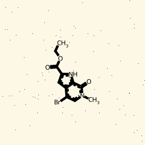 CCOC(=O)c1cc2c(Br)cn(C)c(=O)c2[nH]1